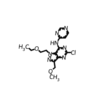 CCOCCn1nc(COC)c2nc(Cl)nc(Nc3ccncn3)c21